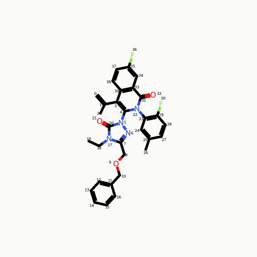 C=C(C)c1c(-n2nc(COCc3ccccc3)n(CC)c2=O)n(-c2cc(C)ccc2F)c(=O)c2cc(F)ccc12